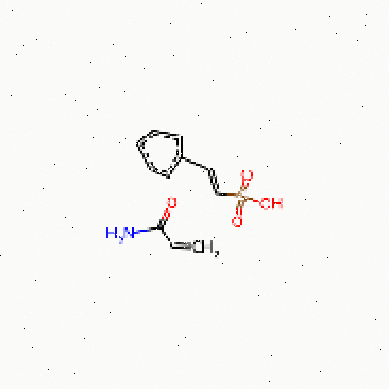 C=CC(N)=O.O=S(=O)(O)C=Cc1ccccc1